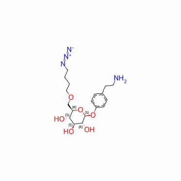 [N-]=[N+]=NCCCCOC[C@H]1O[C@@H](Oc2ccc(CCN)cc2)[C@H](O)[C@@H](O)[C@@H]1O